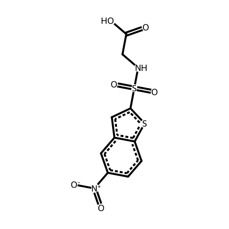 O=C(O)CNS(=O)(=O)c1cc2cc([N+](=O)[O-])ccc2s1